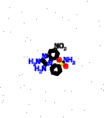 NS(=O)(=O)c1ccccc1.Nc1nc2ccc([N+](=O)[O-])cc2nc1N